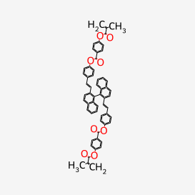 C=C(C)C(=O)Oc1ccc(C(=O)Oc2ccc(/C=C/c3ccc4ccccc4c3-c3c(/C=C/c4ccc(OC(=O)c5ccc(OC(=O)C(=C)C)cc5)cc4)ccc4ccccc34)cc2)cc1